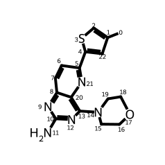 Cc1csc(-c2ccc3nc(N)nc(N4CCOCC4)c3n2)c1